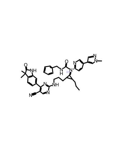 CCCC1/C(=[N+](/C(=O)NCc2ccccc2)c2ccc(-c3cnn(C)c3)cn2)C1CCCNc1ncc(C#N)c(-c2ccc3c(c2)NC(=O)C3(C)C)n1